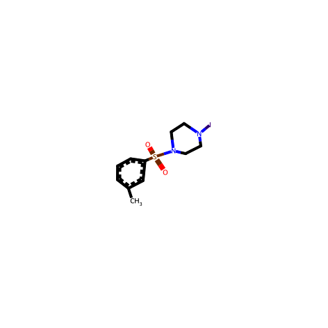 Cc1cccc(S(=O)(=O)N2CCN(I)CC2)c1